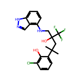 CC(C)(CC(O)(CNc1cccc2[nH]ncc12)C(F)(F)F)c1cccc(Cl)c1O